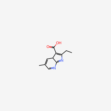 CCC1=C(C(=O)O)C2C=C(C)C=NC2=N1